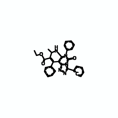 CCOC(=O)C1=C(c2ccccc2)c2c(n(-c3ccccc3)c(=O)n3c(-c4ccccc4)nnc23)NC1C